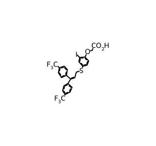 O=C(O)COc1ccc(SCC=C(c2ccc(C(F)(F)F)cc2)c2ccc(C(F)(F)F)cc2)cc1I